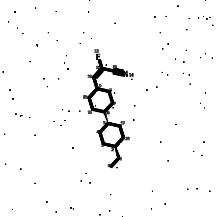 CC[C@H]1CC[C@H](C2CCC(/C=C(/F)C#N)CC2)CC1